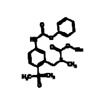 C=S(C)(=O)c1ccc(NC(=O)Oc2ccccc2)cc1CN(C)C(=O)OC(C)(C)C